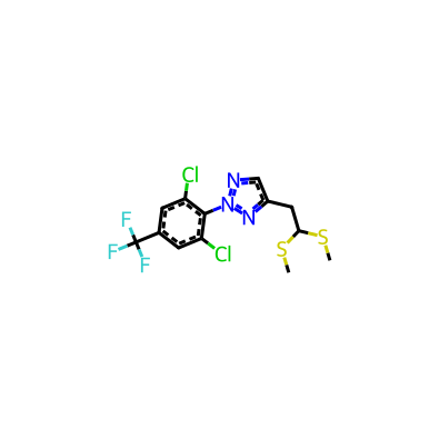 CSC(Cc1cnn(-c2c(Cl)cc(C(F)(F)F)cc2Cl)n1)SC